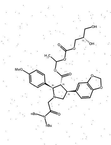 CCCCN(CCCC)C(=O)CN1C[C@H](c2ccc3c(c2)OCO3)[C@@H](C(=O)OC(C)OC(=O)OC[C@@H](O)CO)[C@@H]1c1ccc(OC)cc1